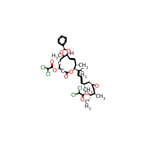 CC[C@H](OC(=O)C(Cl)Cl)[C@@H](C)[C@H]1O[C@@H]1C[C@H](C)/C=C/C=C(\C)[C@H]1OC(=O)C[C@H](OC(=O)C(Cl)Cl)CC[C@@]2(C)O[C@@H](c3ccccc3)O[C@H]2/C=C/[C@@H]1C